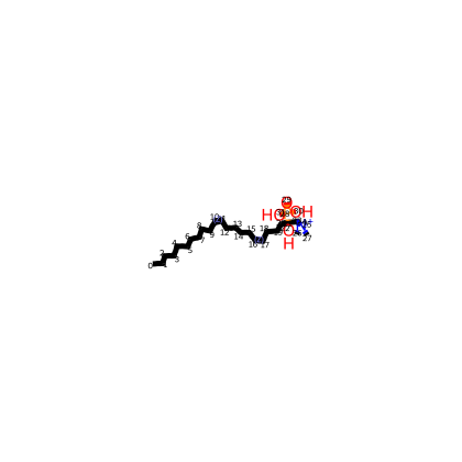 CCCCCCCCCC/C=C\CCCC/C=C\CCCC(O)(C[N+](C)(C)C)P(=O)(O)O